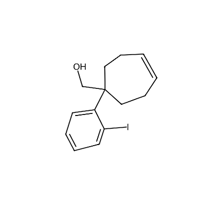 OCC1(c2ccccc2I)CCC=CCC1